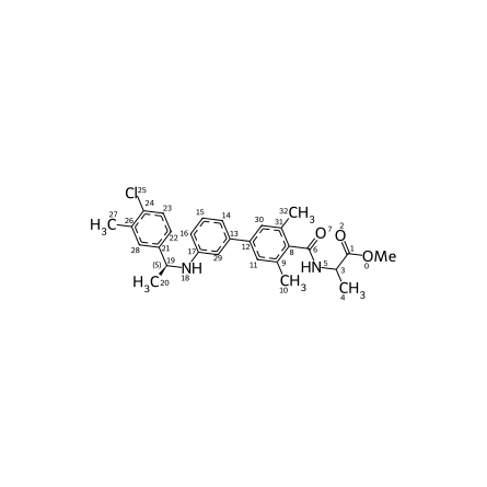 COC(=O)C(C)NC(=O)c1c(C)cc(-c2cccc(N[C@@H](C)c3ccc(Cl)c(C)c3)c2)cc1C